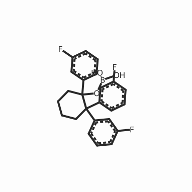 OB(O)OC1(c2cccc(F)c2)CCCCC1(c1cccc(F)c1)c1cccc(F)c1